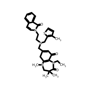 CCN1C(=O)C(C)(C)CN(C)C2=C1C(=O)C=C(CN(CCn1ccc3ccccc3c1=O)Cc1sccc1C)C2